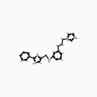 c1ccc(-c2nc(COc3cccc(CCCn4ccnc4)c3)cs2)cc1